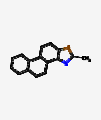 Cc1nc2c(ccc3c4ccccc4ccc32)s1